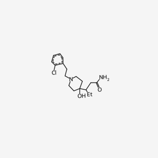 CCC(CC(N)=O)C1(O)CCN(CCc2ccccc2Cl)CC1